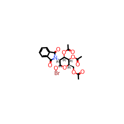 CC(=O)OC[C@H]1O[C@H](OBr)[C@H](N2C(=O)c3ccccc3C2=O)[C@@H](OC(C)=O)[C@H]1OC(C)=O